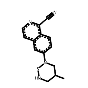 CC1CNSN(c2ccc3c(C#N)nccc3c2)C1